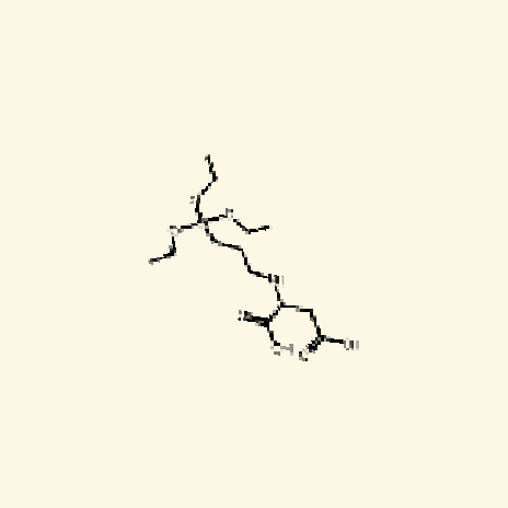 CCO[Si](CCCNC(CC(=O)O)C(=O)O)(OCC)OCC